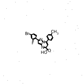 Cc1ccc(-c2cc(C(=O)O)nc3cc(-c4ccc(Br)cc4F)nn23)cc1